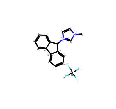 Cn1cc[n+](C2c3ccccc3-c3ccccc32)c1.F[B-](F)(F)F